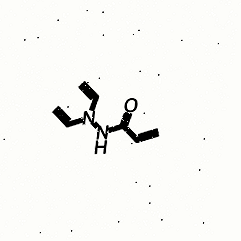 C=CC(=O)NN(C=C)C=C